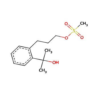 CC(C)(O)c1ccccc1CCCOS(C)(=O)=O